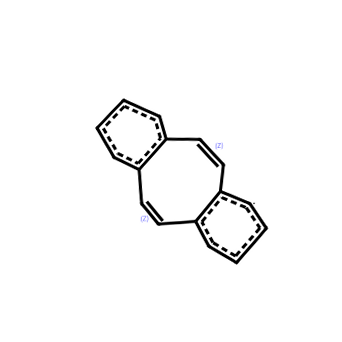 [c]1cccc2c1/C=C\c1ccccc1/C=C\2